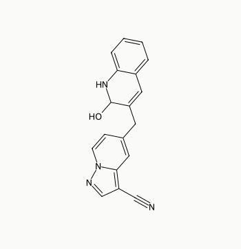 N#Cc1cnn2ccc(CC3=Cc4ccccc4NC3O)cc12